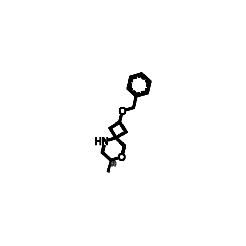 C[C@H]1CNC2(CO1)CC(OCc1ccccc1)C2